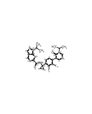 CC(C)n1cncc(-c2ccc(C3(NC(=O)c4ncc5cnn(C(C)C)c5n4)CC3)c(F)c2F)c1=O